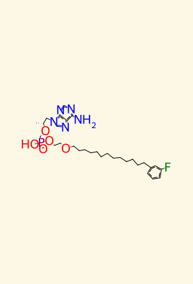 C[C@H](Cn1cnc2c(N)ncnc21)OCP(=O)(O)OCCOCCCCCCCCCCCCCc1cccc(F)c1